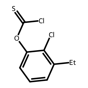 CCc1cccc(OC(=S)Cl)c1Cl